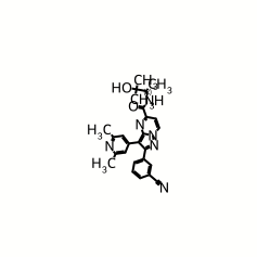 Cc1cc(-c2c(-c3cccc(C#N)c3)nn3ccc(C(=O)N[C@H](C)C(C)(C)O)nc23)cc(C)n1